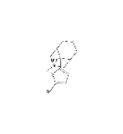 CN1CC2CCCC(C1)C2(O)c1ccc(Br)s1